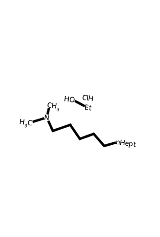 CCCCCCCCCCCCN(C)C.CCO.Cl